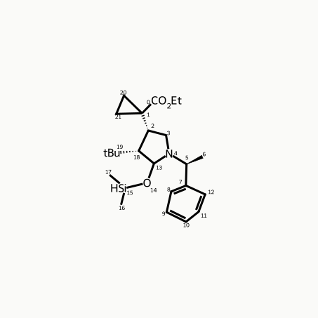 CCOC(=O)C1([C@@H]2CN([C@@H](C)c3ccccc3)C(O[SiH](C)C)[C@@H]2C(C)(C)C)CC1